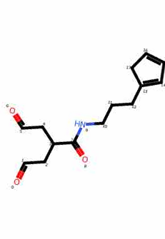 O=CCC(CC=O)C(=O)NCCCC1=CC=CC1